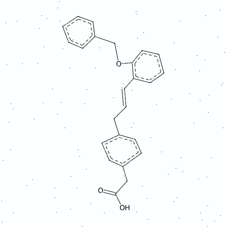 O=C(O)Cc1ccc(CC=Cc2ccccc2OCc2ccccc2)cc1